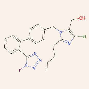 CCCCc1nc(Cl)c(CO)n1Cc1ccc(-c2ccccc2-c2nnnn2I)cc1